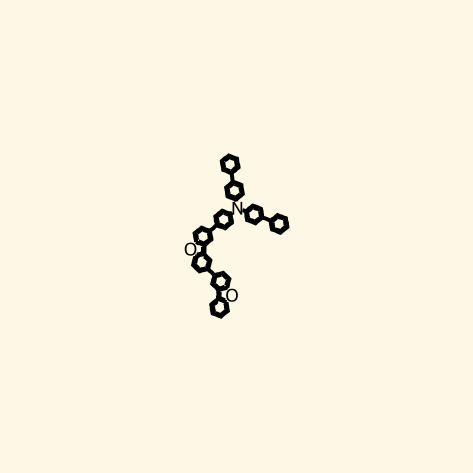 c1ccc(-c2ccc(N(c3ccc(-c4ccccc4)cc3)c3ccc(-c4ccc5oc6ccc(-c7ccc8oc9ccccc9c8c7)cc6c5c4)cc3)cc2)cc1